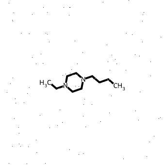 CCCCN1CCN(CC)CC1